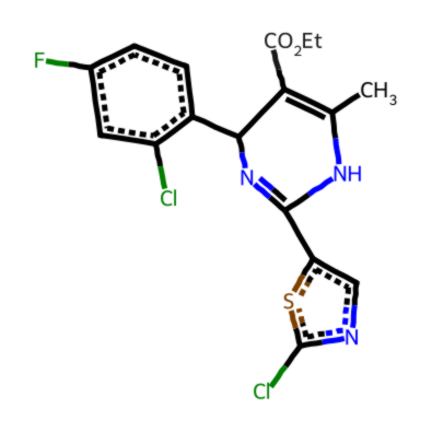 CCOC(=O)C1=C(C)NC(c2cnc(Cl)s2)=NC1c1ccc(F)cc1Cl